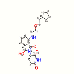 O=C1CCC(N2C(=O)c3c(NCCOCCC4CCCC4)cccc3C2O)C(=O)N1